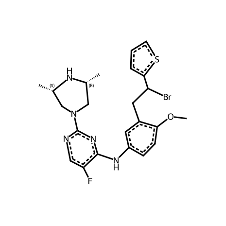 COc1ccc(Nc2nc(N3C[C@@H](C)N[C@@H](C)C3)ncc2F)cc1CC(Br)c1cccs1